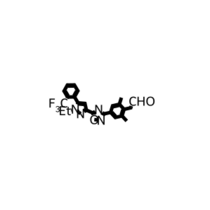 CCn1nc(-c2nc(-c3cc(C)c(CC=O)c(C)c3)no2)cc1-c1ccccc1C(F)(F)F